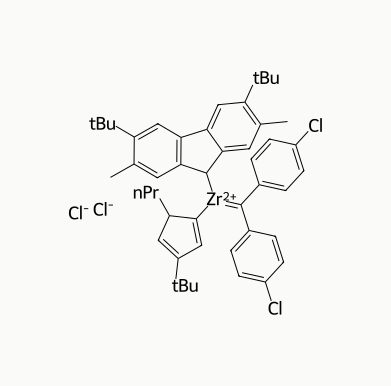 CCCC1C=C(C(C)(C)C)C=[C]1[Zr+2](=[C](c1ccc(Cl)cc1)c1ccc(Cl)cc1)[CH]1c2cc(C)c(C(C)(C)C)cc2-c2cc(C(C)(C)C)c(C)cc21.[Cl-].[Cl-]